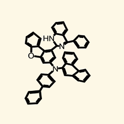 c1ccc(C2=NC(c3cc(N(c4ccc(-c5ccccc5)cc4)c4cc5ccccc5c5ccccc45)cc4oc5ccccc5c34)Nc3ccccc32)cc1